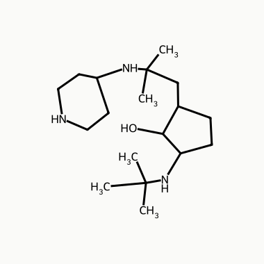 CC(C)(C)NC1CCC(CC(C)(C)NC2CCNCC2)C1O